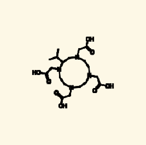 CC(C)C1CN(CC(=O)O)CCN(CC(=O)O)CCN(CC(=O)O)CCN1CC(=O)O